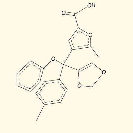 Cc1ccc(C(Oc2ccccc2)(C2=COCO2)c2cc(C(=O)O)oc2C)cc1